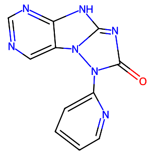 O=c1nc2[nH]c3ncncc3n2n1-c1ccccn1